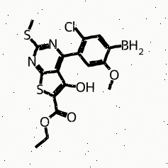 Bc1cc(Cl)c(-c2nc(SC)nc3sc(C(=O)OCC)c(O)c23)cc1OC